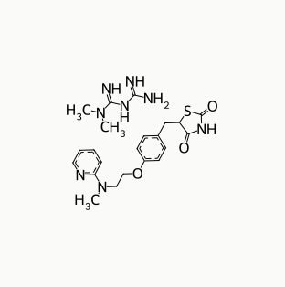 CN(C)C(=N)NC(=N)N.CN(CCOc1ccc(CC2SC(=O)NC2=O)cc1)c1ccccn1